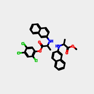 CC(Nc1ccc2ccccc2c1)C(=O)Oc1cc(Cl)c(Cl)cc1Cl.COC(=O)C(C)Nc1ccc2ccccc2c1